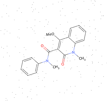 COc1c(C(=O)N(C)c2ccccc2)c(=O)n(C)c2ccccc12